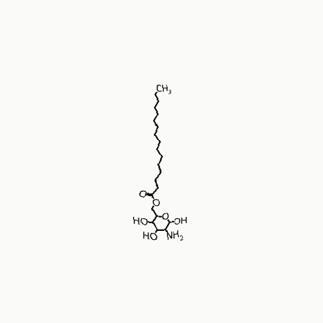 CCCCCCCCCCCCCCCC(=O)OCC1OC(O)C(N)C(O)C1O